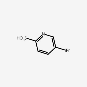 CC(C)c1ccc(S(=O)(=O)O)nc1